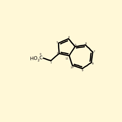 O=C(O)Cc1ccc2cccccc1-2